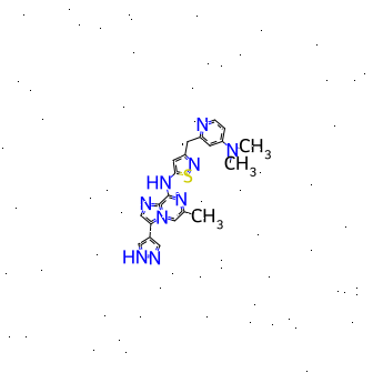 Cc1cn2c(-c3cn[nH]c3)cnc2c(Nc2cc(Cc3cc(N(C)C)ccn3)ns2)n1